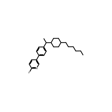 CCCCCCC1CCC(C(C)c2ccc(-c3ccc(F)nc3)cc2)CC1